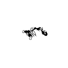 O=C(Nc1cc2cc(Cl)nc(Cl)c2cn1)[C@@H]1C[C@H]1c1cnn(C2CCCCO2)c1